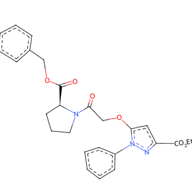 CCOC(=O)c1cc(OCC(=O)N2CCC[C@H]2C(=O)OCc2ccccc2)n(-c2ccccc2)n1